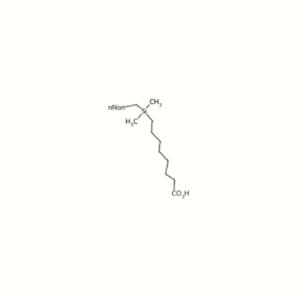 CCCCCCCCCC[Si](C)(C)CCCCCCCC(=O)O